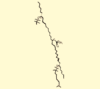 CCCCCC[C@H](CC=CCCCCCCCC(CCCCCCCC=CC[C@@H](CCCCCC)O[Si](C)(C)C(C)(C)CCCCN(C)C)OC(=O)O)O[Si](C)(C)C(C)(C)C